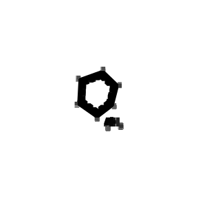 [AlH3].[c]1ccccc1